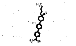 CCCCCC1(C#N)CCC(c2ccc(-c3ccc(C(=N)N)cc3)cc2)CC1.Cl